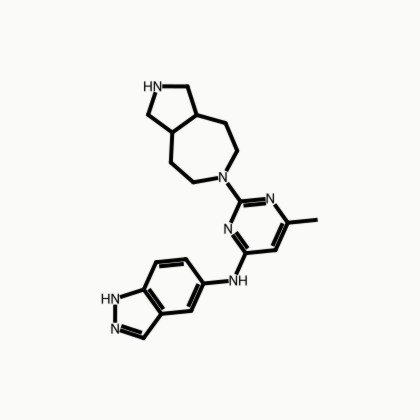 Cc1cc(Nc2ccc3[nH]ncc3c2)nc(N2CCC3CNCC3CC2)n1